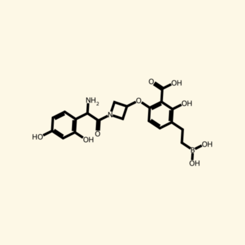 NC(C(=O)N1CC(Oc2ccc(CCB(O)O)c(O)c2C(=O)O)C1)c1ccc(O)cc1O